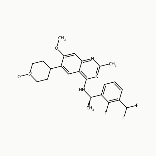 COc1cc2nc(C)nc(N[C@H](C)c3cccc(C(F)F)c3F)c2cc1C1CC[S+]([O-])CC1